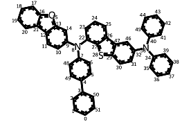 c1ccc(-c2ccc(N(c3ccc4c(c3)oc3ccccc34)c3cccc4c3sc3ccc(N(c5ccccc5)c5ccccc5)cc34)cc2)cc1